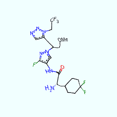 COCC(c1cnnn1CC(F)(F)F)n1cc(NC(=O)[C@@H](N)C2CCC(F)(F)CC2)c(F)n1